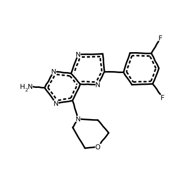 Nc1nc(N2CCOCC2)c2nc(-c3cc(F)cc(F)c3)cnc2n1